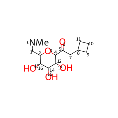 CNCC1OC(C(=O)CC2CCC2)C(O)C(O)C1O